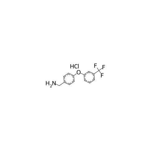 Cl.NCc1ccc(Oc2cccc(C(F)(F)F)c2)cc1